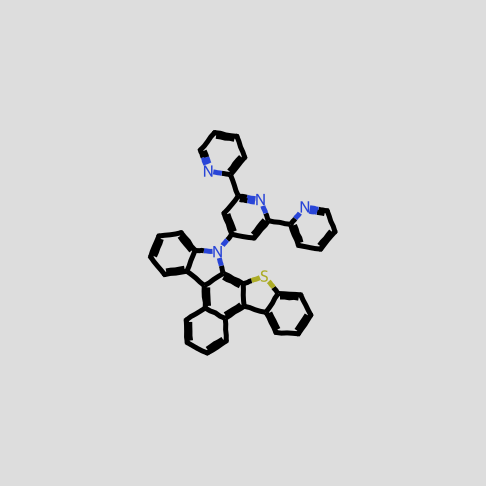 c1ccc(-c2cc(-n3c4ccccc4c4c5ccccc5c5c6ccccc6sc5c43)cc(-c3ccccn3)n2)nc1